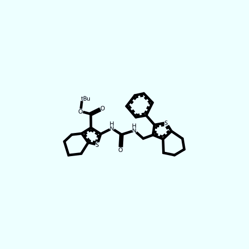 CC(C)(C)OC(=O)c1c(NC(=O)NCc2c(-c3ccccc3)sc3c2CCCC3)sc2c1CCCC2